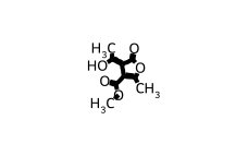 COC(=O)C1=C(C)OC(=O)C1=C(C)O